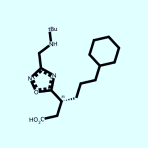 CC(C)(C)NCc1noc([C@H](CCCC2CCCCC2)CC(=O)O)n1